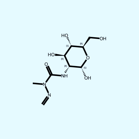 C=NN(C)C(=O)N[C@@H]1[C@@H](O)[C@H](O)[C@@H](CO)O[C@@H]1O